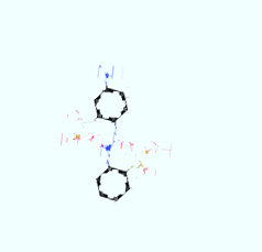 Nc1ccc(N=Nc2ccccc2S(=O)(=O)O)c(S(=O)(=O)O)c1